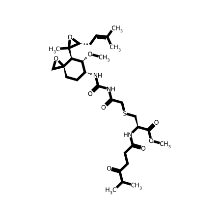 COC(=O)[C@H](CSCC(=O)NC(=O)N[C@@H]1CC[C@]2(CO2)[C@@H](C2(C)O[C@@H]2CC=C(C)C)[C@@H]1OC)NC(=O)CCC(=O)C(C)C